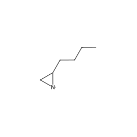 CCCCC1C[N]1